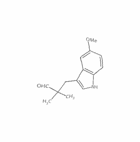 COc1ccc2[nH]cc(CC(C)(C)C=O)c2c1